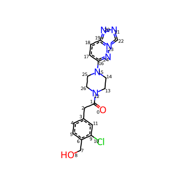 O=C(Cc1ccc(CO)c(Cl)c1)N1CCN(c2ccc3nncn3n2)CC1